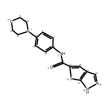 O=C(Nc1ccc(N2CCOCC2)cc1)c1cc2cn[nH]c2s1